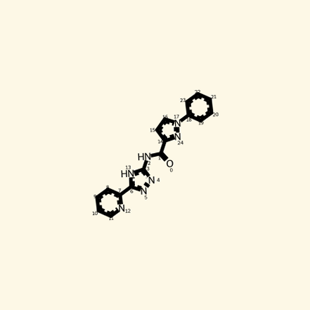 O=C(Nc1nnc(-c2ccccn2)[nH]1)c1ccn(-c2ccccc2)n1